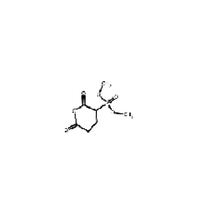 COP(=O)(OC)C1CCC(=O)OC1=O